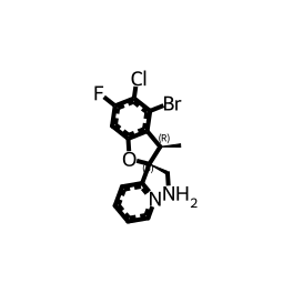 C[C@@H]1c2c(cc(F)c(Cl)c2Br)O[C@@]1(CN)c1ccccn1